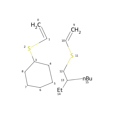 C=CSC1CCCCC1.C=CSCC(CC)CCCC